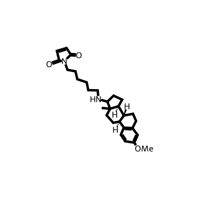 COc1ccc2c(c1)CC[C@@H]1[C@@H]2CCC2(C)C(NCCCCCCN3C(=O)C=CC3=O)CC[C@@H]12